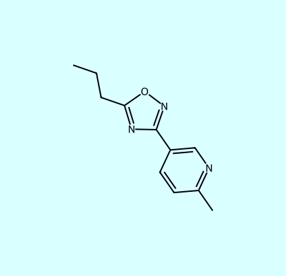 CCCc1nc(-c2ccc(C)nc2)no1